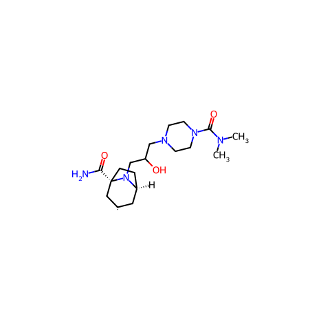 CN(C)C(=O)N1CCN(CC(O)CN2[C@@H]3C[CH]C[C@@]2(C(N)=O)CC3)CC1